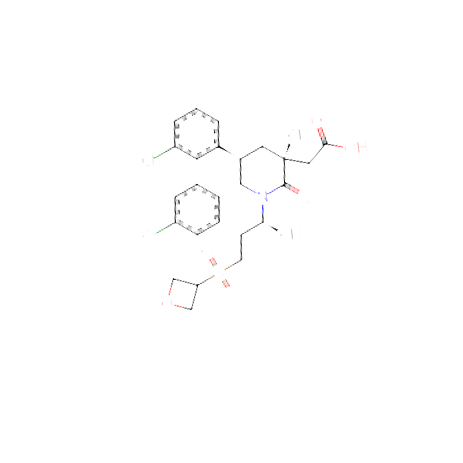 C[C@@H](CCS(=O)(=O)C1COC1)N1C(=O)[C@@](C)(CC(=O)O)C[C@H](c2cccc(Cl)c2)[C@H]1c1ccc(Cl)cc1